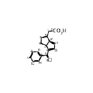 O=C(O)CC1CCC2C(C(=O)c3ccccc3)=CC=C12